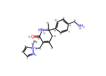 CC1=C(C[N+]2(C(C)C)C=CC=N2)C(=O)NC(C)(c2ccc(CN)cc2)C1